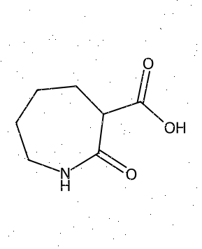 O=C(O)C1CCCCNC1=O